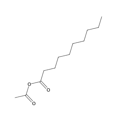 CCCCCCCCCC(=O)OC(C)=O